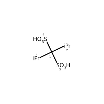 CC(C)C(C(C)C)(S(=O)(=O)O)S(=O)(=O)O